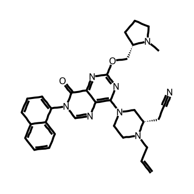 C=CCN1CCN(c2nc(OC[C@@H]3CCCN3C)nc3c(=O)n(-c4cccc5ccccc45)cnc23)C[C@@H]1CC#N